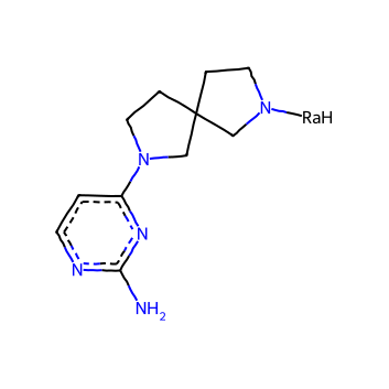 Nc1nccc(N2CCC3(CC[N]([RaH])C3)C2)n1